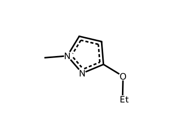 CCOc1ccn(C)n1